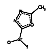 Cc1nnc([S+]([O-])I)o1